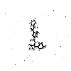 Cc1onc(-c2ccc(F)cc2)c1CNc1cc(C(=O)NC2CCOCC2)[nH]n1